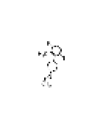 C=COC1CCC(c2c(I)ccc(F)c2C)CC1